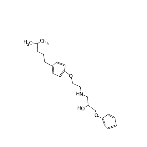 CC(C)CCCc1ccc(OCCNCC(O)COc2ccccc2)cc1